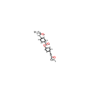 CC(=O)/C=C/c1ccc(OC(=O)c2ccc(CC(C)=O)cc2)cc1